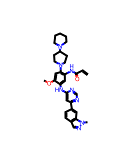 C=CC(=O)Nc1cc(Nc2cc(-c3ccc4cnn(C)c4c3)ncn2)c(OC)cc1N1CCC(N2CCCCC2)CC1